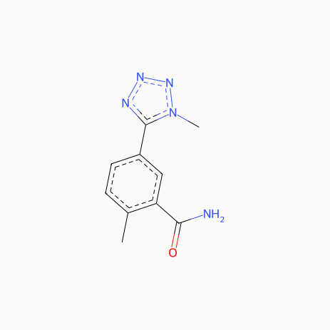 Cc1ccc(-c2nnnn2C)cc1C(N)=O